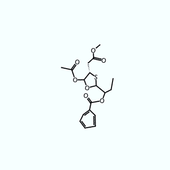 CCC(OC(=O)c1ccccc1)C1OC(OC(C)=O)[C@H](CC(=O)OC)S1